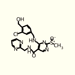 C[S+]([O-])c1ncc(C(=O)NCc2ncccn2)c(NCc2ccc(CO)c(Cl)c2)n1